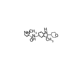 Cc1c(C2CCOCC2)[nH]c2ccc(CNC(=O)c3ccnn3C)cc12